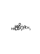 COc1ccc2c(c1)C(=O)NC1(CCNCC1)O2